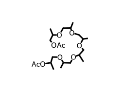 CC(=O)OCC(C)OCC(C)OCC(C)OCC(C)OCC(C)OCC(C)OC(C)=O